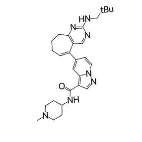 CN1CCC(NC(=O)c2cnn3ccc(C4=CCCCc5nc(NCC(C)(C)C)ncc54)cc23)CC1